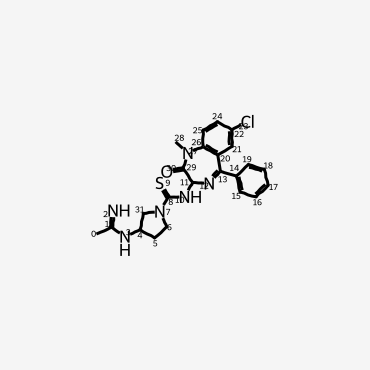 CC(=N)NC1CCN(C(=S)NC2N=C(c3ccccc3)c3cc(Cl)ccc3N(C)C2=O)C1